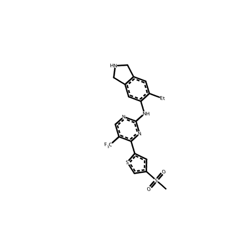 CCc1cc2c(cc1Nc1ncc(C(F)(F)F)c(-c3cc(S(C)(=O)=O)cs3)n1)CNC2